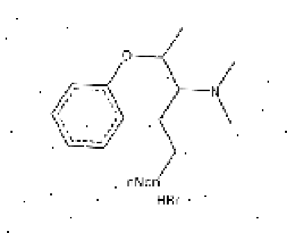 Br.CCCCCCCCCCCC(C(C)Oc1ccccc1)N(C)C